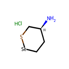 Cl.N[C@H]1CC[Se]SC1